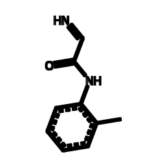 Cc1ccccc1NC(=O)C=N